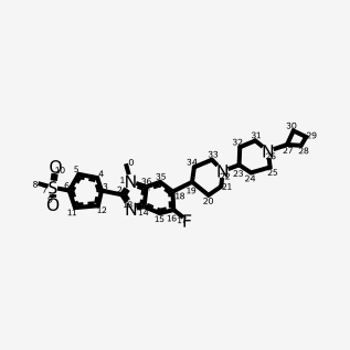 Cn1c(-c2ccc(S(C)(=O)=O)cc2)nc2cc(F)c(C3CCN(C4CCN(C5CCC5)CC4)CC3)cc21